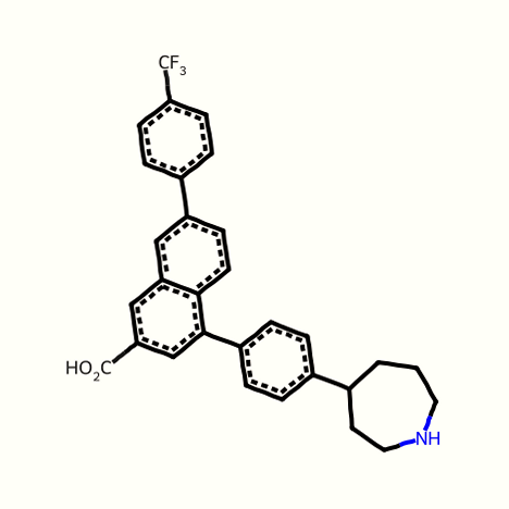 O=C(O)c1cc(-c2ccc(C3CCCNCC3)cc2)c2ccc(-c3ccc(C(F)(F)F)cc3)cc2c1